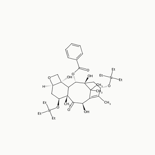 CC[Si](CC)(CC)O[C@H]1C[C@@]2(O)[C@@H](OC(=O)c3ccccc3)C3[C@]4(O)CO[C@@H]4C[C@H](O[Si](CC)(CC)CC)[C@@]3(C)C(=O)[C@H](O)C(=C1C)C2(C)C